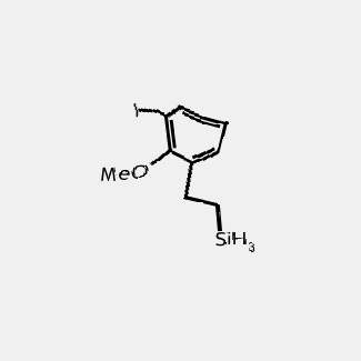 COc1c(I)cccc1CC[SiH3]